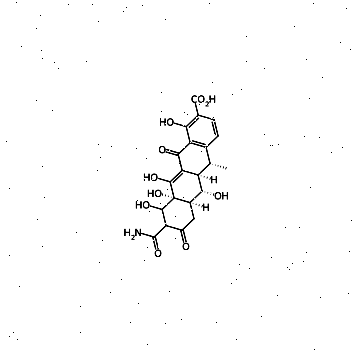 C[C@H]1c2ccc(C(=O)O)c(O)c2C(=O)C2=C(O)[C@]3(O)C(O)C(C(N)=O)C(=O)C[C@@H]3[C@@H](O)[C@@H]21